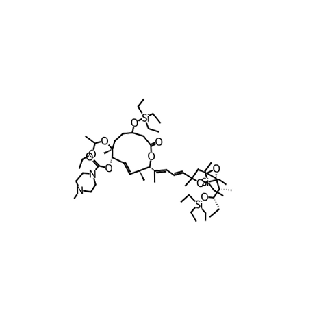 CCOC(C)O[C@]1(C)CCC(O[Si](CC)(CC)CC)CC(=O)O[C@H](/C(C)=C/C=C/C(C)(C[C@H]2O[C@@H]2[C@H](C)[C@H](CC)O[Si](CC)(CC)CC)O[Si](CC)(CC)CC)[C@@H](C)/C=C/[C@@H]1OC(=O)N1CCN(C)CC1